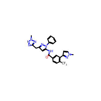 Cn1ccc(-c2cc(C(=O)Nc3cc(Cc4nnn(C)n4)nn3-c3ccccc3)ccc2C(F)(F)F)n1